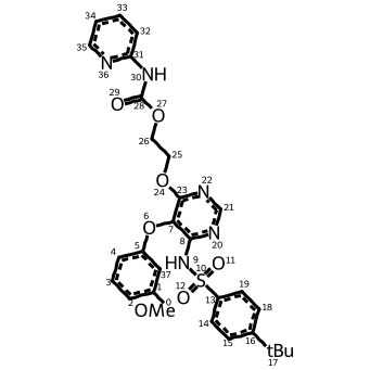 COc1cccc(Oc2c(NS(=O)(=O)c3ccc(C(C)(C)C)cc3)ncnc2OCCOC(=O)Nc2ccccn2)c1